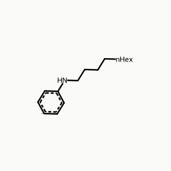 CCCCCCCCCCNc1cc[c]cc1